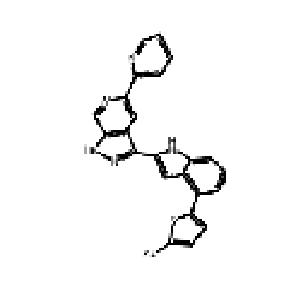 CC(=O)c1ccc(-c2cccc3[nH]c(-c4n[nH]c5cnc(-c6ccccn6)cc45)cc23)s1